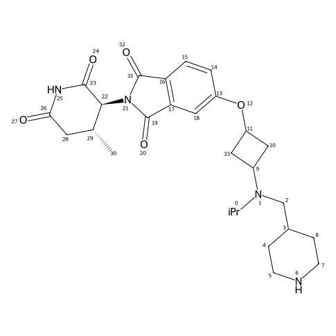 CC(C)N(CC1CCNCC1)C1CC(Oc2ccc3c(c2)C(=O)N([C@@H]2C(=O)NC(=O)C[C@H]2C)C3=O)C1